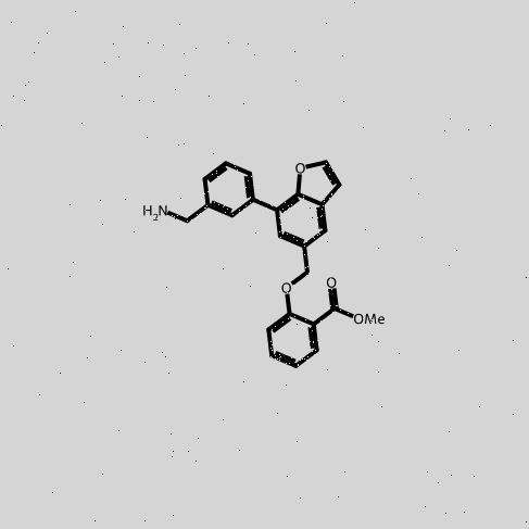 COC(=O)c1ccccc1OCc1cc(-c2cccc(CN)c2)c2occc2c1